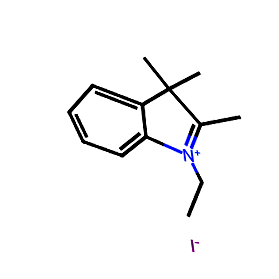 CC[N+]1=C(C)C(C)(C)c2ccccc21.[I-]